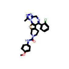 COc1ccc(NC(=O)N2CCc3c(sc4c3C(c3ccccc3Cl)=NCc3nnc(C)n3-4)C2)cc1